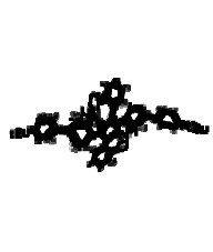 CC(C)(C)c1ccc(-c2ccc3c(c2)[nH]c2c(-c4ccccc4Cl)c4c([nH]c5cc(-c6ccc(C(C)(C)C)cc6)ccc54)c(-c4ccccc4Cl)c23)cc1